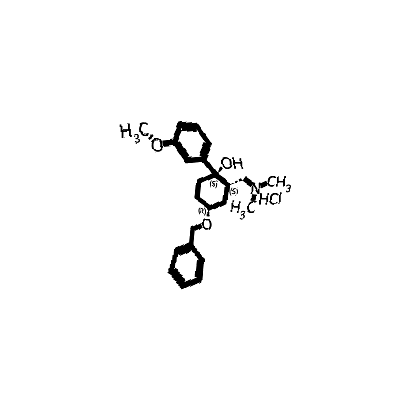 COc1cccc([C@]2(O)CC[C@@H](OCc3ccccc3)C[C@H]2CN(C)C)c1.Cl